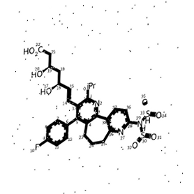 CC(C)c1nc2c(c(-c3ccc(F)cc3)c1/C=C/[C@@H](O)C[C@@H](O)CC(=O)O)CCCc1nc(N([SH](=O)=O)[SH](=O)=O)ccc1-2